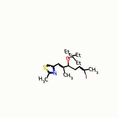 CC[Si](CC)(CC)OC(C/C=C(/C)I)/C(C)=C/c1csc(C)n1